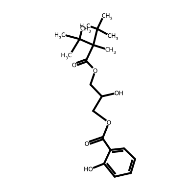 CC(C)(C)C(C)(C(=O)OCC(O)COC(=O)c1ccccc1O)C(C)(C)C